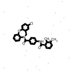 Cc1cccc(C(=O)Nc2ccc(C(=O)N3Cc4cc(Cl)ccc4Oc4ccccc43)cc2)c1C